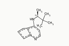 C[C@H](Nc1ccnn2cccc12)C(C)(C)C